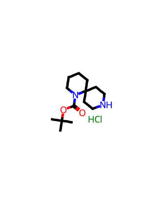 CC(C)(C)OC(=O)N1CCCCC12CCNCC2.Cl